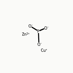 [Cu+].[O-]P([O-])[O-].[Zn+2]